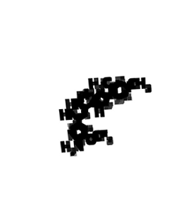 CC(C)N/C(=C\C(=N)c1cnc(N)c(OC(F)(F)F)c1)[C@H]1[C@@H]2CC(N3CCN(C)C[C@@H]3C)C[C@@H]21